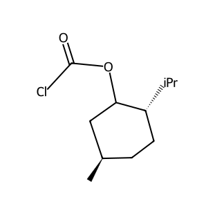 CC(C)[C@@H]1CC[C@@H](C)CC1OC(=O)Cl